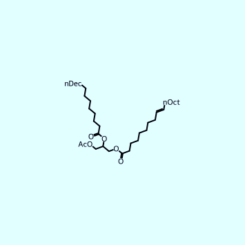 CCCCCCCCC=CCCCCCCCC(=O)OCC(COC(C)=O)OC(=O)CCCCCCCCCCCCCCCCC